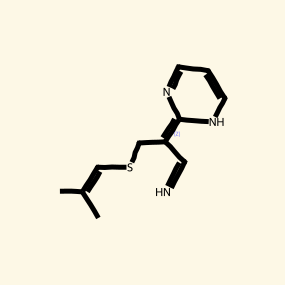 CC(C)=CSC/C(C=N)=C1\N=CC=CN1